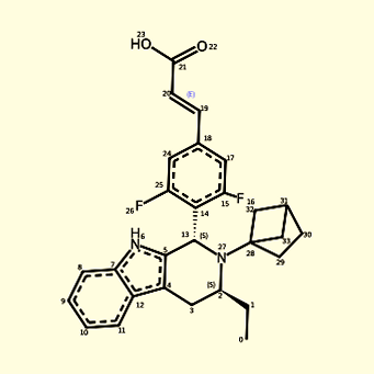 CC[C@H]1Cc2c([nH]c3ccccc23)[C@H](c2c(F)cc(/C=C/C(=O)O)cc2F)N1C12CCC(C1)C2